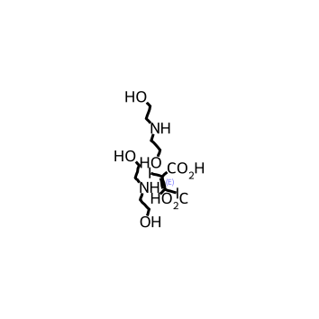 O=C(O)/C(I)=C(\I)C(=O)O.OCCNCCO.OCCNCCO